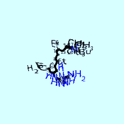 C=CCC(CC(C(CC)CCCC(CC)CCC(C)(C)N(C)C(C)(C)C)C(F)(F)F)NC1NNC(N)N1